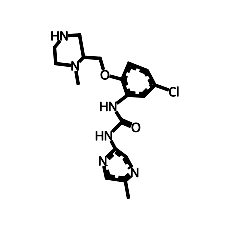 Cc1cnc(NC(=O)Nc2cc(Cl)ccc2OCC2CNCCN2C)cn1